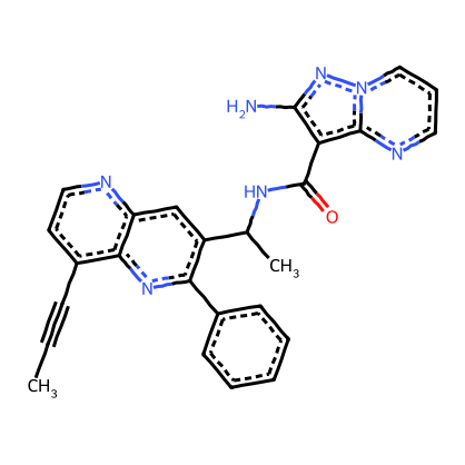 CC#Cc1ccnc2cc(C(C)NC(=O)c3c(N)nn4cccnc34)c(-c3ccccc3)nc12